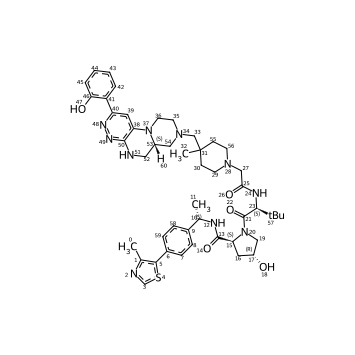 Cc1ncsc1-c1ccc([C@H](C)NC(=O)[C@@H]2C[C@@H](O)CN2C(=O)[C@@H](NC(=O)CN2CCC(C)(CN3CCN4c5cc(-c6ccccc6O)nnc5NC[C@H]4C3)CC2)C(C)(C)C)cc1